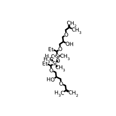 C=C(C)COCC(O)COC(CC)[Si](C)(C)O[Si](C)(C)C(CC)OCC(O)COCC(=C)C